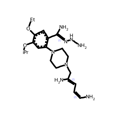 CCOc1cc(/C(N)=N/NN)c(N2CCN(C/C(N)=C/C=C\N)CC2)cc1OC(C)C